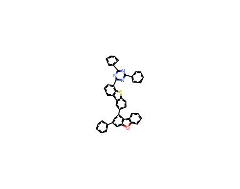 c1ccc(-c2cc(-c3ccc4sc5c(-c6nc(-c7ccccc7)nc(-c7ccccc7)n6)cccc5c4c3)c3c(c2)oc2ccccc23)cc1